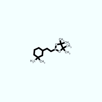 CC1(C)CCCC(CCB2OC(C)(C)C(C)(C)O2)C1